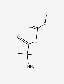 COC(=O)OC(=O)C(C)(C)N